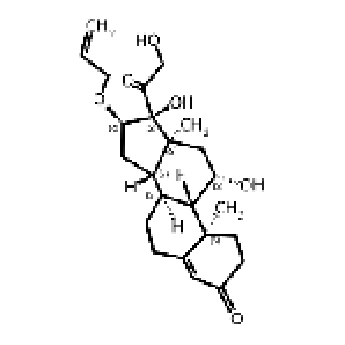 C=CCO[C@@H]1C[C@H]2[C@@H]3CCC4=CC(=O)CC[C@]4(C)C3(F)[C@@H](O)C[C@]2(C)[C@@]1(O)C(=O)CO